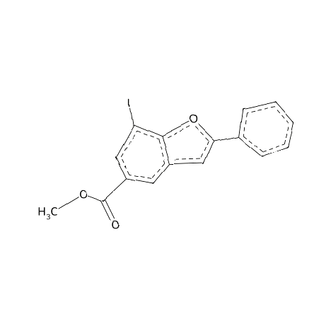 COC(=O)c1cc(I)c2oc(-c3ccccc3)cc2c1